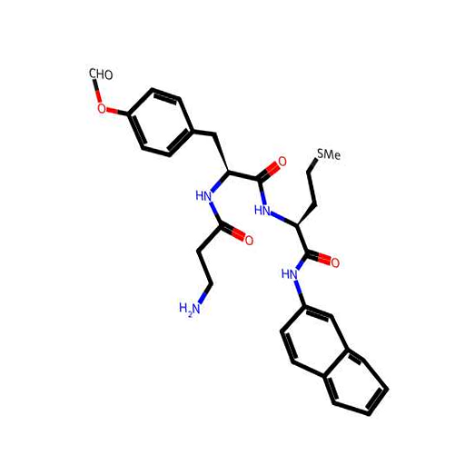 CSCC[C@H](NC(=O)[C@H](Cc1ccc(OC=O)cc1)NC(=O)CCN)C(=O)Nc1ccc2ccccc2c1